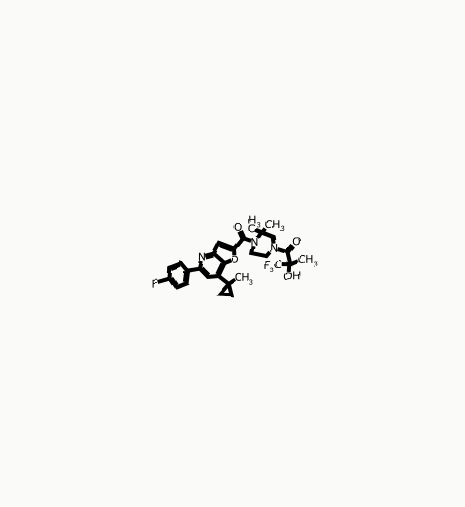 CC1(c2cc(-c3ccc(F)cc3)nc3cc(C(=O)N4CCN(C(=O)C(C)(O)C(F)(F)F)CC4(C)C)oc23)CC1